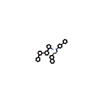 C1=C(c2ccc(-c3ccccc3)cc2)N=C(c2cccc3oc4c(-c5cccc6c5oc5ccccc56)cccc4c23)N=C(c2ccc3ccccc3c2)C1